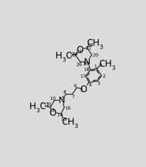 Cc1ccc(OCCCN2CC(C)OC(C)C2)cc1N1CC(C)OC(C)C1